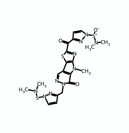 CN(C)Sn1ccc(Cn2ncc3c4sc(C(=O)c5ccn([S+]([O-])N(C)C)n5)nc4n(C)c3c2=O)n1